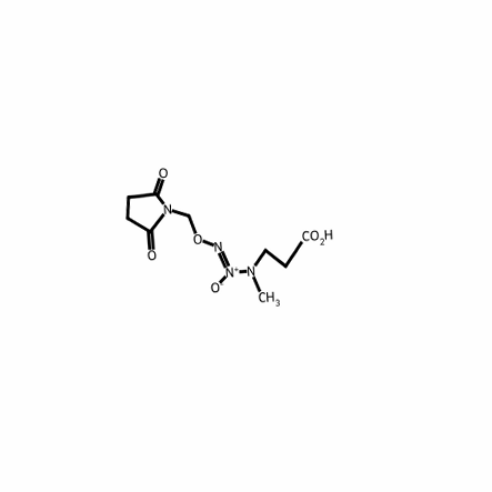 CN(CCC(=O)O)[N+]([O-])=NOCN1C(=O)CCC1=O